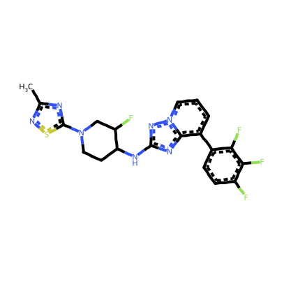 Cc1nsc(N2CCC(Nc3nc4c(-c5ccc(F)c(F)c5F)cccn4n3)C(F)C2)n1